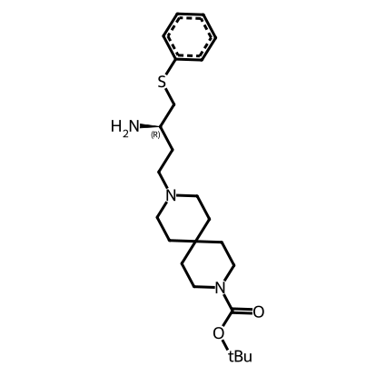 CC(C)(C)OC(=O)N1CCC2(CCN(CC[C@@H](N)CSc3ccccc3)CC2)CC1